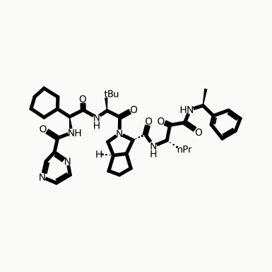 CCC[C@H](NC(=O)[C@@H]1C2CCC[C@H]2CN1C(=O)[C@@H](NC(=O)[C@@H](NC(=O)c1cnccn1)C1CCCCC1)C(C)(C)C)C(=O)C(=O)N[C@@H](C)c1ccccc1